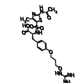 CC(=O)Nc1nc(C)c(S(=O)(=O)N[C@@H](Cc2ccc(OCCCONC(=N)N)cc2)C(=O)O)s1